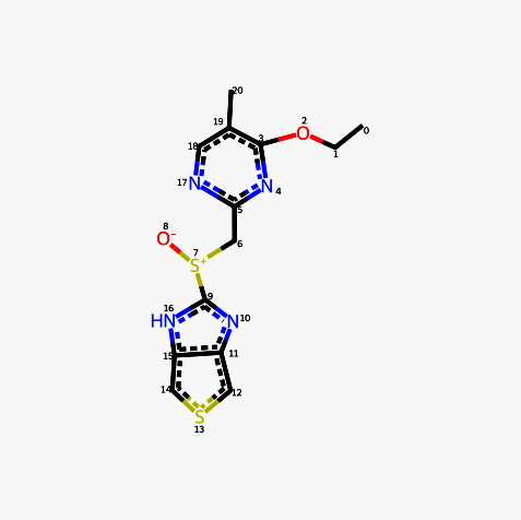 CCOc1nc(C[S+]([O-])c2nc3cscc3[nH]2)ncc1C